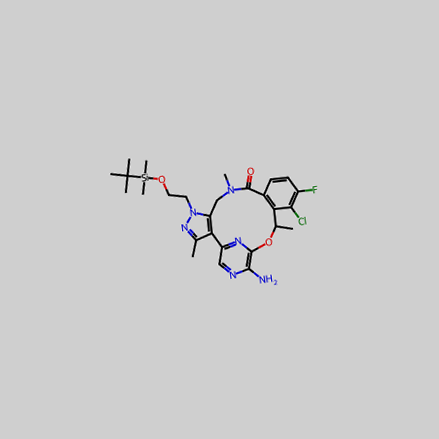 Cc1nn(CCO[Si](C)(C)C(C)(C)C)c2c1-c1cnc(N)c(n1)OC(C)c1c(ccc(F)c1Cl)C(=O)N(C)C2